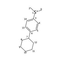 C[S+](C)c1ccc(C2CCCCC2)cc1